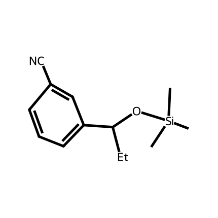 CCC(O[Si](C)(C)C)c1cccc(C#N)c1